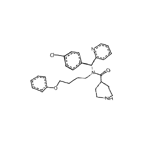 O=C(C1CCNCC1)N(CCCCOc1ccccc1)[C@H](c1ccc(Cl)cc1)c1ccccn1